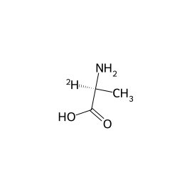 [2H][C@@](C)(N)C(=O)O